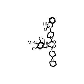 CNc1c(Cl)cc(C[C@@H](NC(=O)N2CCC(N3Cc4ccccc4NC3=O)CC2)C(=O)N2CCC(N3CCCCC3)CC2)cc1C(F)(F)F